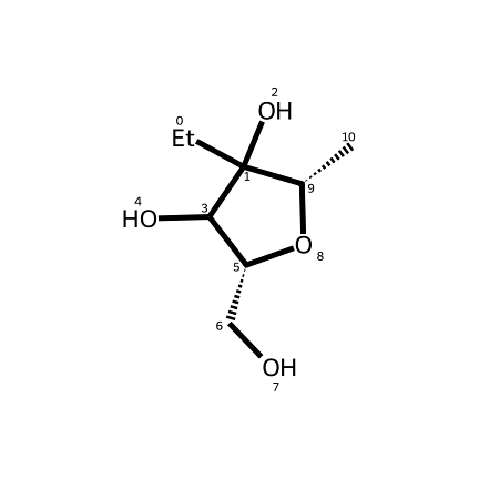 CCC1(O)C(O)[C@@H](CO)O[C@H]1C